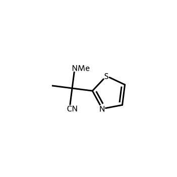 CNC(C)(C#N)c1nccs1